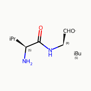 CC[C@H](C)[C@H]([C]=O)NC(=O)[C@@H](N)C(C)C